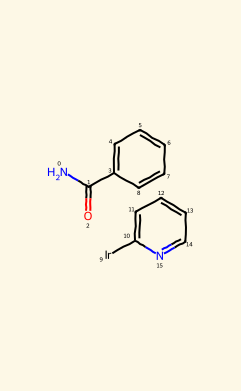 NC(=O)c1ccccc1.[Ir][c]1ccccn1